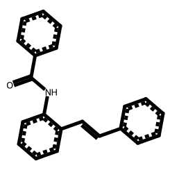 O=C(Nc1ccccc1C=Cc1ccccc1)c1ccccc1